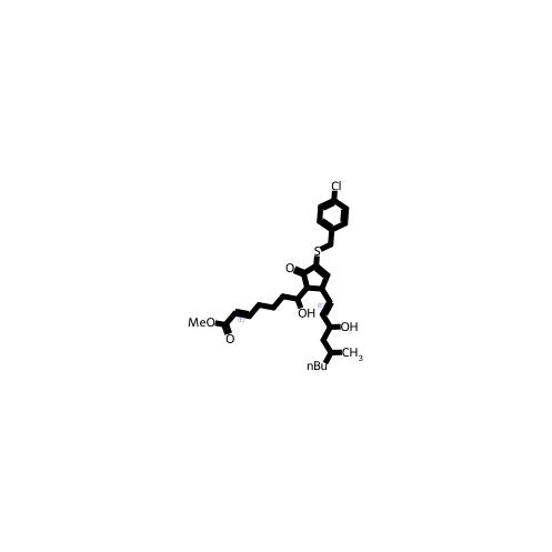 CCCCC(C)CC(O)/C=C/C1C=C(SCc2ccc(Cl)cc2)C(=O)C1C(O)CCC/C=C/C(=O)OC